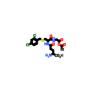 CCC(=O)OC(=O)CNC(=O)C(CSCc1ccc(Cl)cc1Cl)NC(=O)CCC(N)C(=O)O